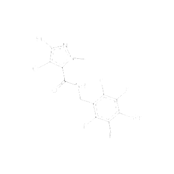 CCCc1c(F)c(F)c(CNC(=O)c2c(Cl)c(CC)nn2C)c(F)c1F